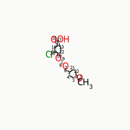 COc1ccc(COCCOc2ccc(C(=O)O)cc2Cl)cc1